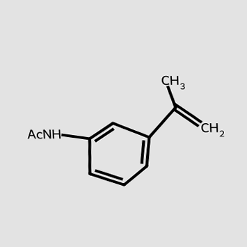 C=C(C)c1cccc(NC(C)=O)c1